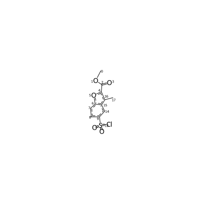 COC(=O)c1oc2ccc(S(=O)(=O)Cl)cc2c1C